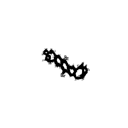 Brc1c2cc3c(cc2c(Br)c2cc4c(cc12)C1CC2CC5(CC45)C2C1)C1CC12CC1CC3CC12